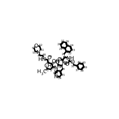 CC(C)CC(NC(=O)[C@H](Cc1ccncc1)NC(=O)[C@H](Cc1cccc2ccccc12)NC(=O)OCc1ccccc1)C(O)CC(=O)NCCN1CCOCC1